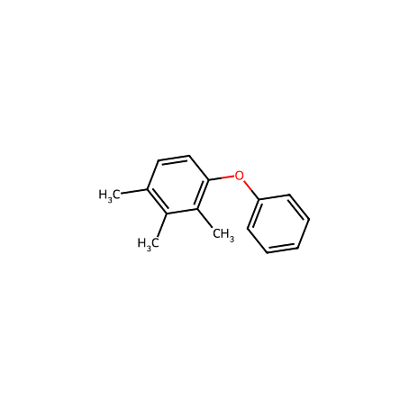 Cc1ccc(Oc2ccccc2)c(C)c1C